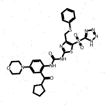 O=C(Nc1nc(CSc2ccccc2)c(S(=O)(=O)c2nnn[nH]2)s1)Nc1ccc(N2CCOCC2)cc1C(=O)C1CCCC1